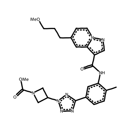 COCCCc1ccn2ncc(C(=O)Nc3cc(-c4nnn(C5CN(C(=O)OC)C5)n4)ccc3C)c2c1